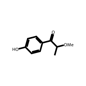 COC(C)C(=O)c1ccc(O)cc1